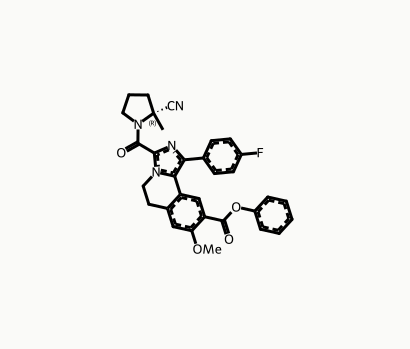 COc1cc2c(cc1C(=O)Oc1ccccc1)-c1c(-c3ccc(F)cc3)nc(C(=O)N3CCC[C@]3(C)C#N)n1CC2